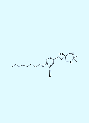 CCCCCCCCOc1ccc(CCC2(N)COC(C)(C)OC2)cc1C#N